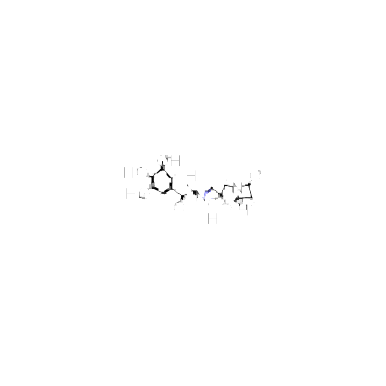 C[C@]1(/C=N/NC(=O)c2cc(O)c(O)c(O)c2)CN2C(=O)C[C@H]2S1